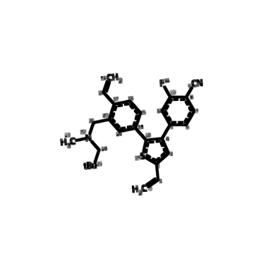 C=Cc1cc(-c2ccc(C#N)c(F)c2)c(-c2ccc(C=C)c(CN(C)CC(C)(C)C)c2)s1